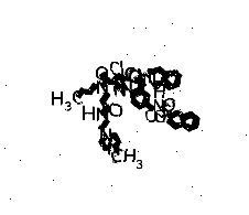 CCCCN(CCC(=O)NCCN1CCN(C)CC1)C(=O)c1nn(-c2ccc(C(=O)NS(=O)(=O)c3ccc4ccccc4c3)cc2C(=O)N2CCc3ccccc3C2)c(C)c1Cl